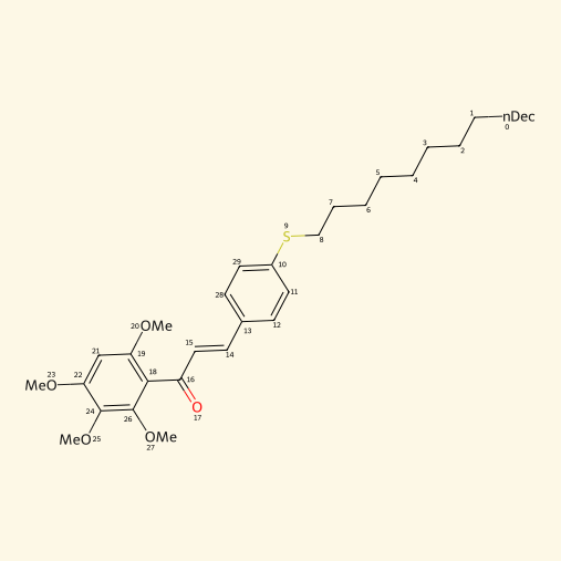 CCCCCCCCCCCCCCCCCCSc1ccc(C=CC(=O)c2c(OC)cc(OC)c(OC)c2OC)cc1